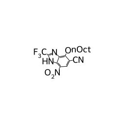 CCCCCCCCOc1c(C#N)cc([N+](=O)[O-])c2[nH]c(C(F)(F)F)nc12